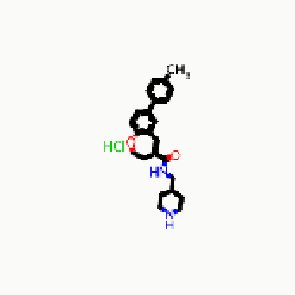 Cc1ccc(-c2ccc3c(c2)C=C(C(=O)NCC2CCNCC2)CCO3)cc1.Cl